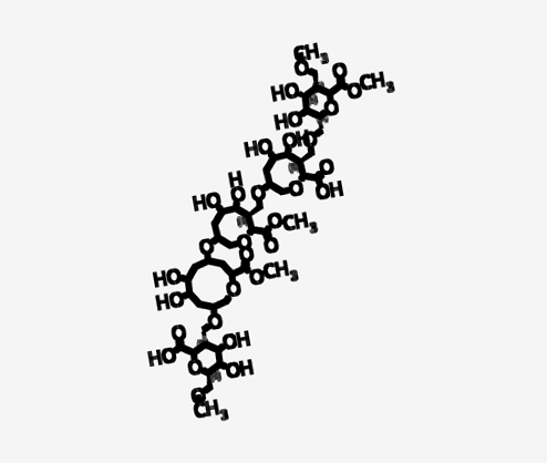 COC[C@H]1OC(C(=O)O)[C@H](COC2COC(C(=O)OC)CC(OC3COC(C(=O)OC)[C@H](COC4COC(C(=O)O)[C@H](COC[C@H]5OC(C(=O)OC)[C@H](COC)[C@H](O)C5O)C(O)C(O)C4)C(O)C(O)C3)CC(O)C(O)C2)C(O)C1O